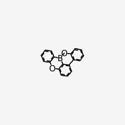 c1ccc2c(c1)Oc1cccc3c1B2Oc1ccccc1-3